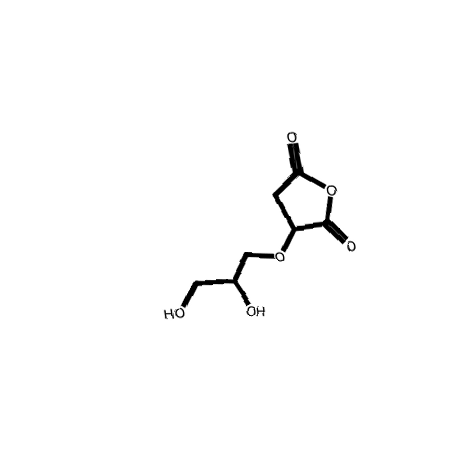 O=C1CC(OCC(O)CO)C(=O)O1